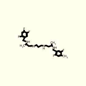 Cc1cc(F)c(CNC(C)CCNCCCNCCC(C)NCc2cc(F)c(F)cc2F)cc1F